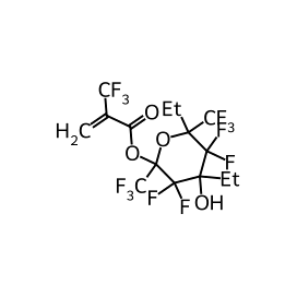 C=C(C(=O)OC1(C(F)(F)F)OC(CC)(C(F)(F)F)C(F)(F)C(O)(CC)C1(F)F)C(F)(F)F